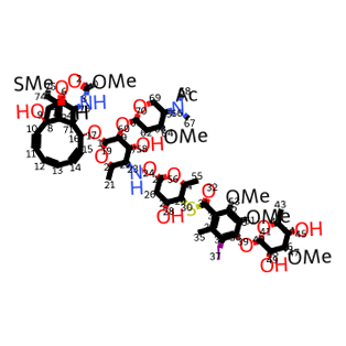 COC(=O)NC1C(=O)C[C@]2(O)C#C/C=C\C#C[C@@H](OC3OC(C)C(NOC4CC(O)C(SC(=O)c5c(C)c(I)c(OC6OC(C)C(O)C(OC)C6O)c(OC)c5OC)C(C)O4)C(O)C3OC3CC(OC)C(N(C)C(C)=O)CO3)[C@@H]1/C2=C/CSC